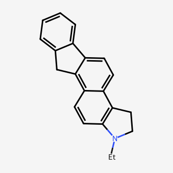 CCN1CCc2c1ccc1c3c(ccc21)-c1ccccc1C3